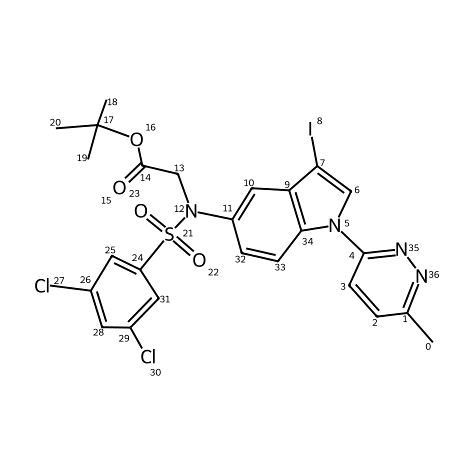 Cc1ccc(-n2cc(I)c3cc(N(CC(=O)OC(C)(C)C)S(=O)(=O)c4cc(Cl)cc(Cl)c4)ccc32)nn1